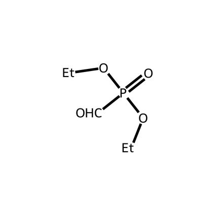 CCOP(=O)(C=O)OCC